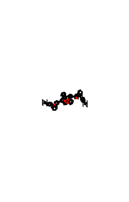 CN(C)c1ccc(N2c3ccc(-c4ccc5c(c4)C(c4ccccc4)(c4ccccc4)c4c-5c5ccccc5c5cc(-c6ccc7c(c6)C6(C)CCCCC6(C)N7c6ccc(N(C)C)cc6)ccc45)cc3C3(C)CCCCC23C)cc1